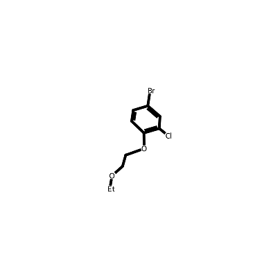 CCOCCOc1ccc(Br)cc1Cl